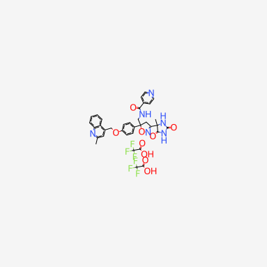 Cc1cc(COc2ccc(C3(CNC(=O)c4ccncc4)CC(C4(C)NC(=O)NC4=O)=NO3)cc2)c2ccccc2n1.O=C(O)C(F)(F)F.O=C(O)C(F)(F)F